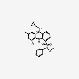 CON(c1ccccc1)S(=O)(=O)c1cccc(C(=O)NC2CC2)c1Nc1ccc(I)cc1Cl